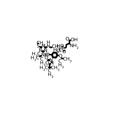 CC(C)Oc1cc(-n2nc(C(C)(C)C)oc2=O)c(Cl)cc1Cl.CCNc1nc(NC(C)(C)C)nc(SC)n1.CP(=O)(O)CCC(N)C(=O)O